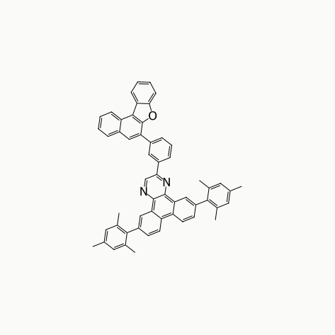 Cc1cc(C)c(-c2ccc3c4ccc(-c5c(C)cc(C)cc5C)cc4c4nc(-c5cccc(-c6cc7ccccc7c7c6oc6ccccc67)c5)cnc4c3c2)c(C)c1